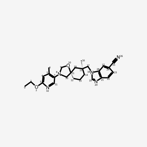 CCOc1cc(C)c(N2CO[C@]3(CCC[C@](C)(Cn4cnc5ccc(C#N)cc54)C3)C2)cn1